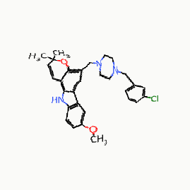 COc1ccc2[nH]c3c4c(c(CN5CCN(Cc6cccc(Cl)c6)CC5)cc3c2c1)OC(C)(C)C=C4